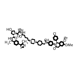 COc1cc2c(cc1OC(C)C)[C@H](c1ccc(Cl)cc1)N(c1ccc(N(C)CC3CCC(N4CCN(CCCCC(=O)NC(C(=O)N5C[C@H](O)C[C@H]5C(=O)N[C@@H](C)c5ccc(-c6scnc6C)cc5)C(C)(C)C)CC4)CC3)cc1)C(=O)C2